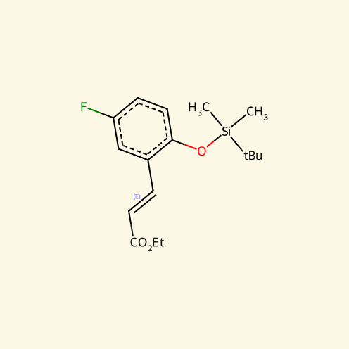 CCOC(=O)/C=C/c1cc(F)ccc1O[Si](C)(C)C(C)(C)C